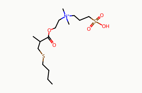 CCCCSCC(C)C(=O)OCC[N+](C)(C)CCCS(=O)(=O)O